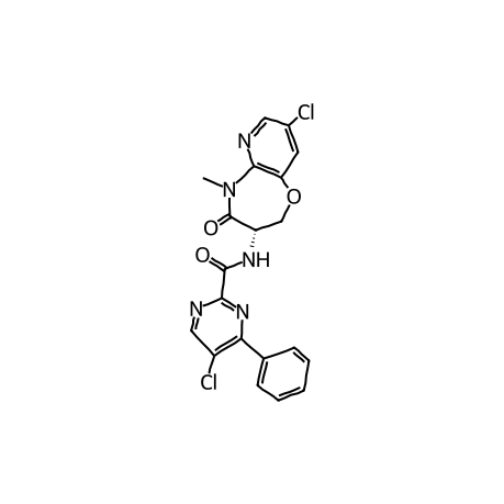 CN1C(=O)[C@@H](NC(=O)c2ncc(Cl)c(-c3ccccc3)n2)COc2cc(Cl)cnc21